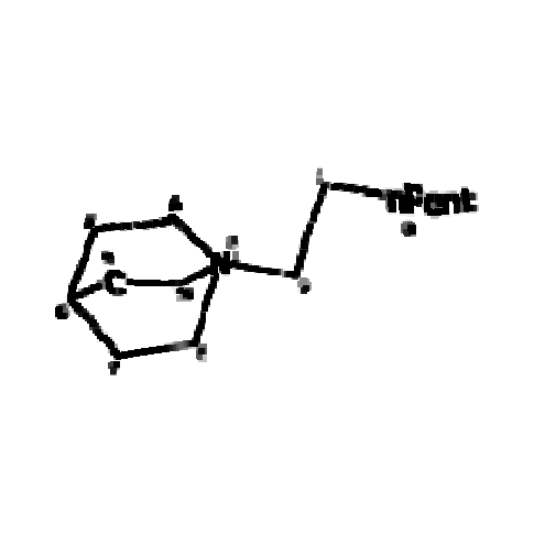 CCCCCCC[N+]12CCC(CC1)CC2